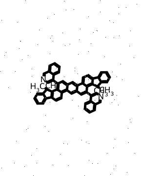 CC1(C)c2ccccc2-c2ccc3c(c(-c4cncc5ccccc45)cc4cc5c(cc(-c6cncc7ccccc67)c6c7c(ccc65)-c5ccccc5C7(C)C)cc43)c21